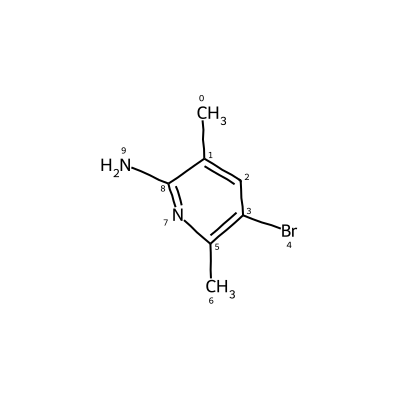 Cc1cc(Br)c(C)nc1N